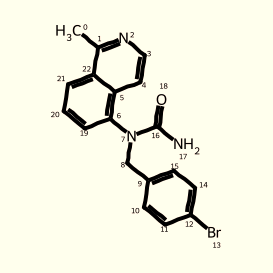 Cc1nccc2c(N(Cc3ccc(Br)cc3)C(N)=O)cccc12